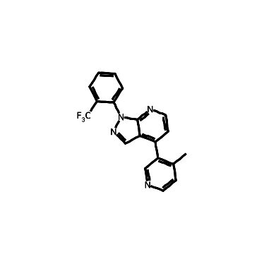 Cc1ccncc1-c1ccnc2c1cnn2-c1ccccc1C(F)(F)F